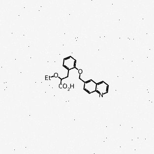 CCOC(Cc1ccccc1OCc1ccc2ncccc2c1)C(=O)O